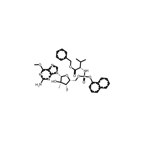 COc1nc(N)nc2c1ncn2[C@@H]1O[C@H](COP(=O)(N[C@H](C(=O)OCc2ccccc2)C(C)C)Oc2cccc3ccccc23)[C@H](F)[C@@]1(C)O